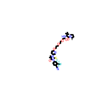 C[C@@H]1CCCN1C(=O)[C@@H](NC(=O)COCCOCCCOc1ccc(N2C(=S)N(c3ccc(C#N)c(C(F)(F)F)c3F)C(=O)C2(C)C)cn1)C(C)(C)C